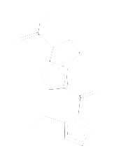 CCc1ccsc1C(=O)c1ccc2n1CCC2C(=O)O